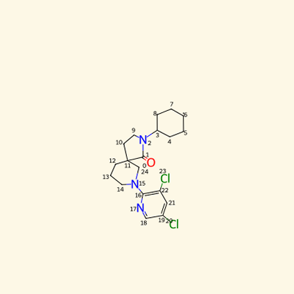 O=C1N(C2CC[CH]CC2)CCC12CCCN(c1ncc(Cl)cc1Cl)C2